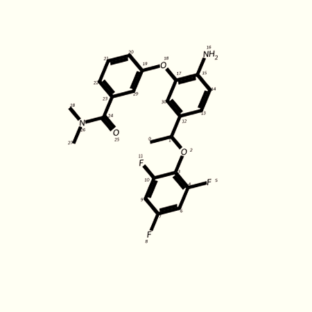 CC(Oc1c(F)cc(F)cc1F)c1ccc(N)c(Oc2cccc(C(=O)N(C)C)c2)c1